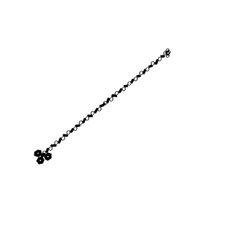 CS(=O)(=O)OCCOCCOCCOCCOCCOCCOCCOCCOCCOCCOCCOCCOCCOCCOCCOCCOCCOCCOCCOCCOC(c1ccccc1)(c1ccccc1)c1ccccc1